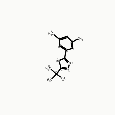 Cc1cc(C)cc(-c2nnc(C(C)(C)C)[nH]2)c1